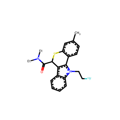 CCN(CC)C(=O)C1Sc2cc(C)ccc2-c2c1c1ccccc1n2CC[18F]